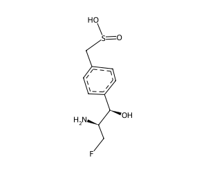 N[C@H](CF)[C@H](O)c1ccc(CS(=O)O)cc1